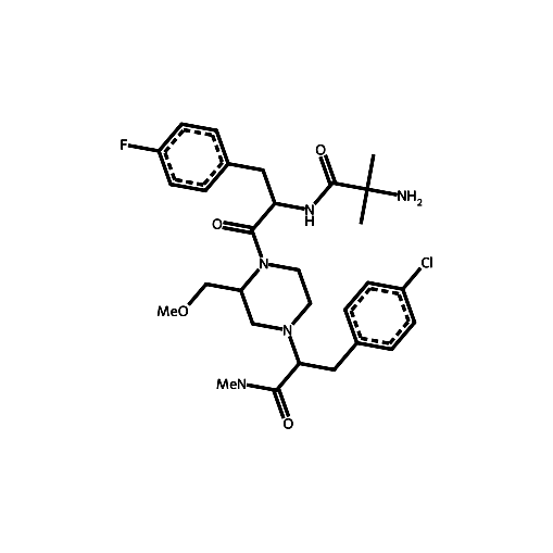 CNC(=O)C(Cc1ccc(Cl)cc1)N1CCN(C(=O)C(Cc2ccc(F)cc2)NC(=O)C(C)(C)N)C(COC)C1